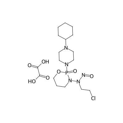 O=C(O)C(=O)O.O=NN(CCCl)N1CCCOP1(=O)N1CCN(C2CCCCC2)CC1